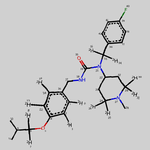 [2H]c1c([2H])c(OC([2H])([2H])C(C)C)c([2H])c([2H])c1CNC(=O)N(C1CC([2H])([2H])N(C)C([2H])([2H])C1)C([2H])([2H])c1ccc(F)cc1